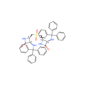 O=C1N[C@@H](CS(=O)(=O)C[C@@H]2NC(=O)[C@@H]2NC(c2ccccc2)(c2ccccc2)c2ccccc2)[C@H]1NC(c1ccccc1)(c1ccccc1)c1ccccc1